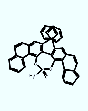 CP1(=O)Oc2c(c(-c3ccccc3)cc3ccc4ccccc4c23)-c2c(-c3ccccc3)cc3ccc4ccccc4c3c2O1